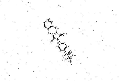 O=C1CN(Cc2ccncc2F)C(=O)N1c1ccc(S(=O)(=O)C(F)(F)F)cc1